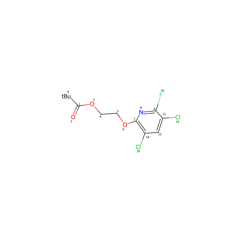 CC(C)(C)C(=O)OCCOc1nc(F)c(Cl)cc1Cl